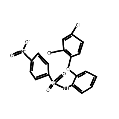 O=[N+]([O-])c1ccc(S(=O)(=O)Nc2ccccc2Oc2ccc(Cl)cc2Cl)cc1